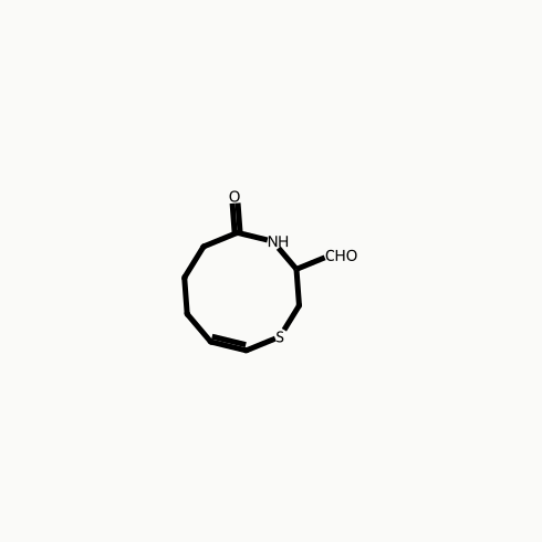 O=CC1CS/C=C\CCCC(=O)N1